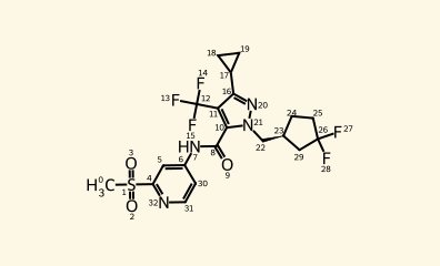 CS(=O)(=O)c1cc(NC(=O)c2c(C(F)(F)F)c(C3CC3)nn2C[C@H]2CCC(F)(F)C2)ccn1